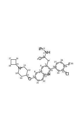 CC(C)NC(=O)Cc1cc2cc(OC3CCN(C4CCC4)CC3)ccc2nc1-c1ccc(F)c(Cl)c1